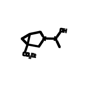 CCOC(=O)C12CC1CN(B(C)O)C2